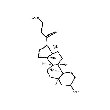 COCCC(=O)[C@H]1CC[C@H]2[C@@H]3CC[C@@H]4C[C@H](O)CC[C@]4(C)[C@H]3CC[C@]12C